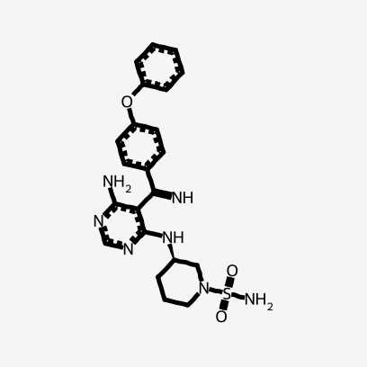 N=C(c1ccc(Oc2ccccc2)cc1)c1c(N)ncnc1N[C@@H]1CCCN(S(N)(=O)=O)C1